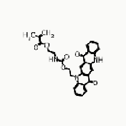 C=C(C)C(=O)OCCNC(=O)OCCn1c2ccccc2c(=O)c2cc3[nH]c4ccccc4c(=O)c3cc21